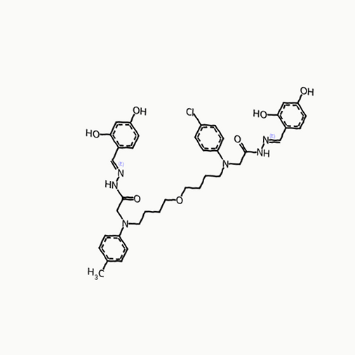 Cc1ccc(N(CCCCOCCCCN(CC(=O)N/N=C/c2ccc(O)cc2O)c2ccc(Cl)cc2)CC(=O)N/N=C/c2ccc(O)cc2O)cc1